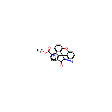 COC(=O)c1ccc2c(c1)C1(C(=[N+]=[N-])C2=O)c2ccccc2Oc2cccc(N3CCC3)c21